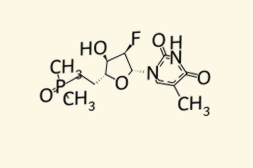 Cc1cn([C@@H]2O[C@H](CCP(C)(C)=O)[C@@H](O)[C@H]2F)c(=O)[nH]c1=O